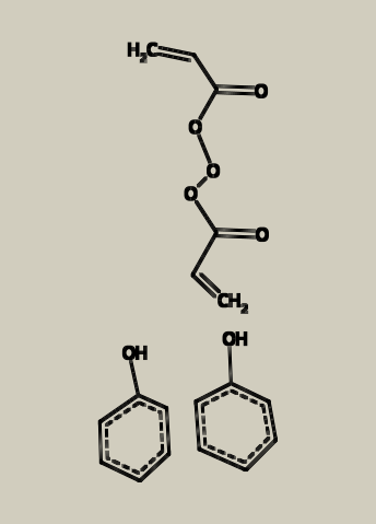 C=CC(=O)OOOC(=O)C=C.Oc1ccccc1.Oc1ccccc1